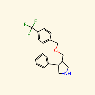 FC(F)(F)c1ccc(COCC2CNCC2c2ccccc2)cc1